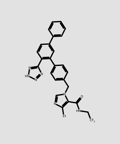 CCc1ncn(Cc2ccc(-c3cc(-c4ccccc4)ccc3-c3nn[nH]n3)cc2)c1C(=O)NCC(F)(F)F